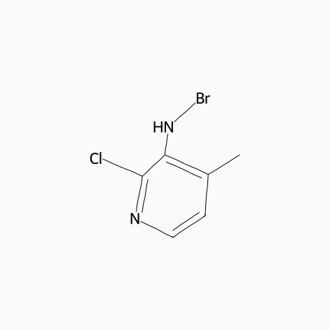 Cc1ccnc(Cl)c1NBr